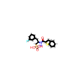 O=C(NC(Cc1cccc(F)c1)CP(=O)(O)O)c1cc2ccccc2s1